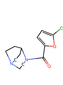 O=C(c1ccc(Cl)o1)N1CCN2CCC1CC2